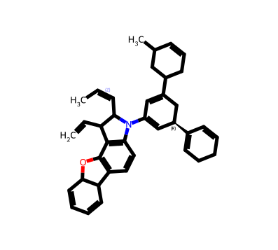 C=CC1c2c(ccc3c2OC2C=CC=CC32)N(C2=C[C@H](C3=CCCC=C3)CC(C3CC=CC(C)C3)=C2)C1/C=C\C